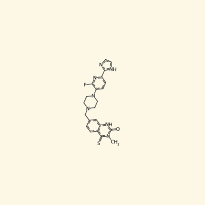 Cn1c(=O)[nH]c2cc(CN3CCN(c4ccc(-c5ncc[nH]5)nc4F)CC3)ccc2c1=S